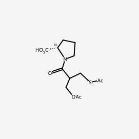 CC(=O)OCC(CSC(C)=O)C(=O)N1CCC[C@H]1C(=O)O